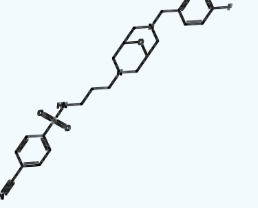 N#Cc1ccc(S(=O)(=O)NCCCN2CC3CN(Cc4ccc(F)cc4)CC(C2)O3)cc1